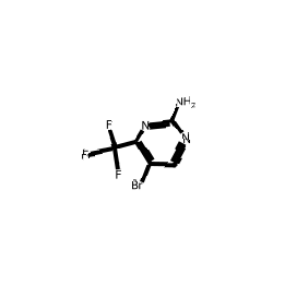 Nc1ncc(Br)c(C(F)(F)F)n1